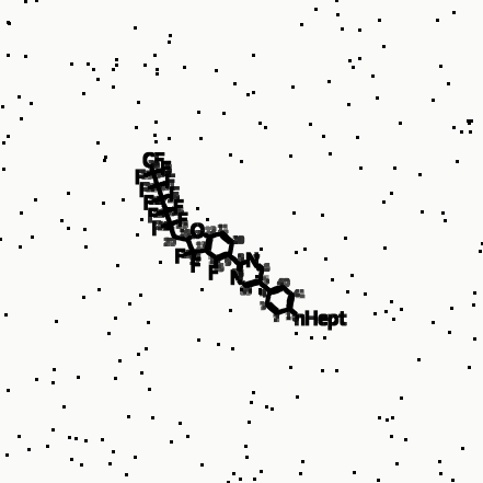 CCCCCCCc1ccc(-c2cnc(-c3ccc4c(c3F)C(F)(F)C(CC(F)(F)C(F)(F)C(F)(F)C(F)(F)C(F)(F)C(F)(F)F)O4)nc2)cc1